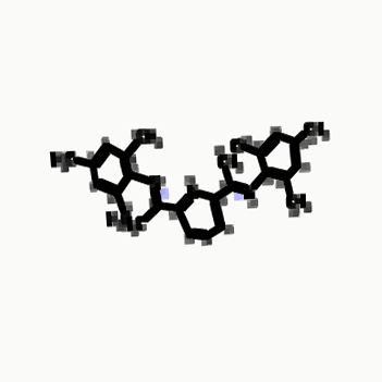 C/C(=N\c1c(C)cc(C)cc1C)c1cccc(/C(C)=N/c2c(C)cc(C)cc2Cl)n1